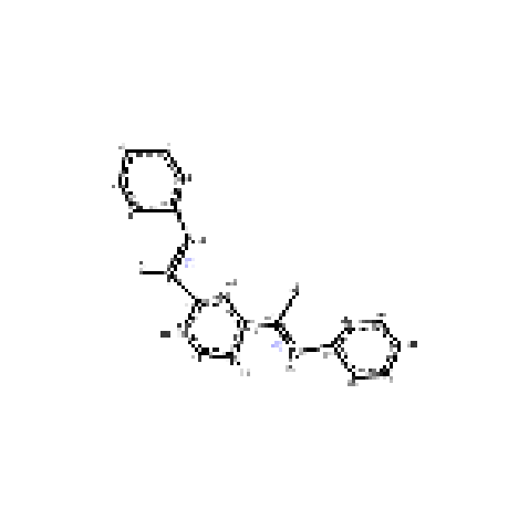 C/C(=N\c1ccccc1)c1ncnc(/C(C)=N/c2ccccc2)n1